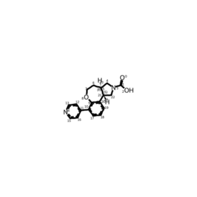 O=C(O)N1C[C@@H]2CCOc3c(-c4ccncc4)cccc3[C@H]2C1